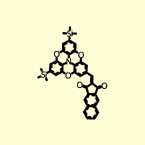 C[Si](C)(C)c1cc2c3c(c1)Oc1cc([Si](C)(C)C)cc4c1N3c1c(cc(C=C3C(=O)c5cc6ccccc6cc5C3=O)cc1O4)O2